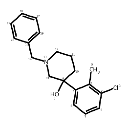 Cc1c(Cl)cccc1C1(O)CCCN(Cc2ccccc2)C1